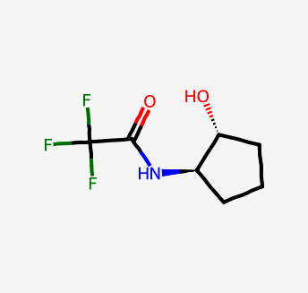 O=C(N[C@@H]1CCC[C@H]1O)C(F)(F)F